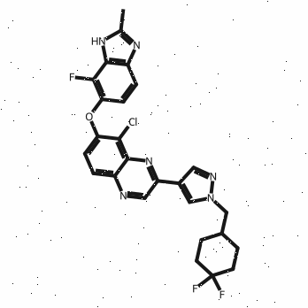 Cc1nc2ccc(Oc3ccc4ncc(-c5cnn(CC6CCC(F)(F)CC6)c5)nc4c3Cl)c(F)c2[nH]1